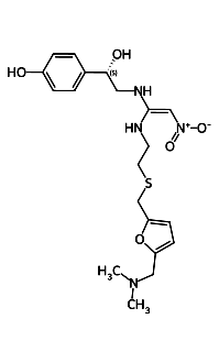 CN(C)Cc1ccc(CSCCNC(=C[N+](=O)[O-])NC[C@@H](O)c2ccc(O)cc2)o1